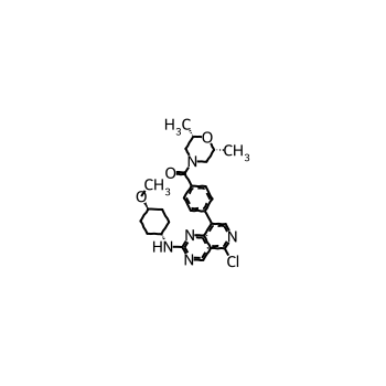 CO[C@H]1CC[C@H](Nc2ncc3c(Cl)ncc(-c4ccc(C(=O)N5C[C@@H](C)O[C@@H](C)C5)cc4)c3n2)CC1